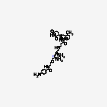 Cc1cccc(NC(=O)CCNCCN(N)/C=C(\N)COCCNC(=O)c2ccc(N)cc2)c1CN(C=O)C1CCC(=O)NC1=O